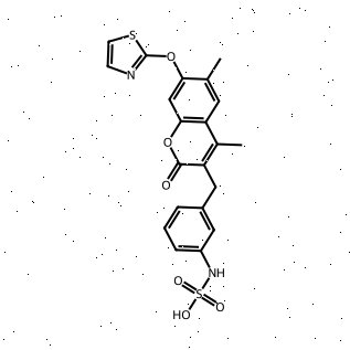 Cc1cc2c(C)c(Cc3cccc(NS(=O)(=O)O)c3)c(=O)oc2cc1Oc1nccs1